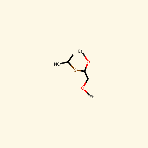 CCOCC(OCC)SC(C)C#N